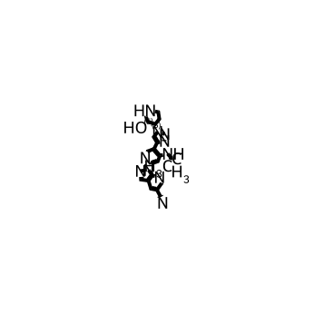 CC(C)Nc1cc(-n2ncc3cc(C#N)cnc32)ncc1-c1cn([C@H]2CCNC[C@@H]2O)nn1